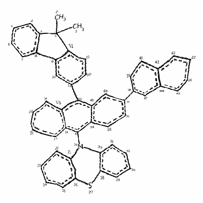 CC1(C)c2ccccc2-c2cc(-c3c4ccccc4c(N4c5ccccc5Sc5ccccc54)c4ccc(-c5ccc6ccccc6c5)cc34)ccc21